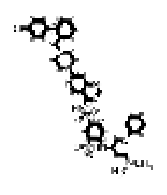 CN(C)CCC(CSc1ccccc1)Nc1ccc(S(=O)(=O)Nc2ncnc3cc(N4CCN(Cc5ccccc5-c5ccc(Cl)cc5)CC4)ncc23)cc1[N+](=O)[O-]